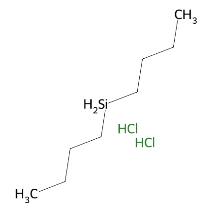 CCCC[SiH2]CCCC.Cl.Cl